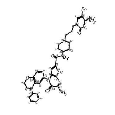 Nc1nc(=O)n(CCCN2CCC(NC(=O)c3cc4c(nc(N)c(=O)n4-c4ccc5c(c4)N(c4ccccc4)CCO5)s3)CC2)cc1F